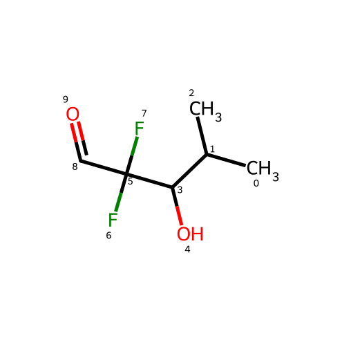 CC(C)C(O)C(F)(F)C=O